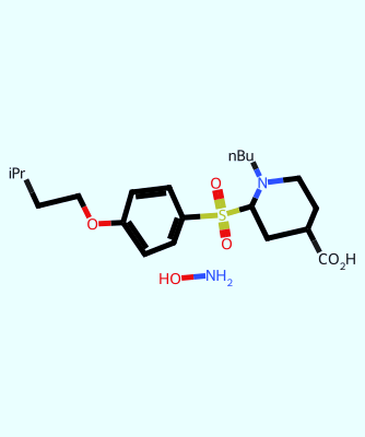 CCCCN1CCC(C(=O)O)CC1S(=O)(=O)c1ccc(OCCC(C)C)cc1.NO